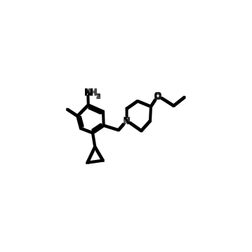 CCOC1CCN(Cc2cc(N)c(C)cc2C2CC2)CC1